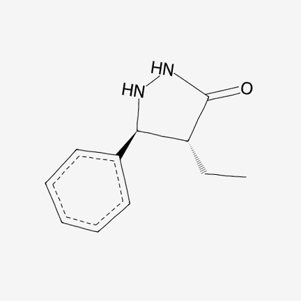 CC[C@H]1C(=O)NN[C@@H]1c1ccccc1